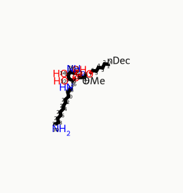 CCCCCCCCCCCCCCCCOC[C@H](COC1(O)O[C@H](CNCCCCCCCCCCCCN)[C@@H](O)[C@H](O)[C@H]1N)OC